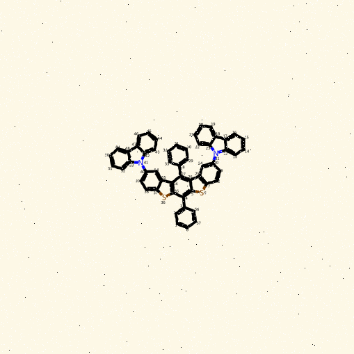 c1ccc(-c2c3sc4ccc(-n5c6ccccc6c6ccccc65)cc4c3c(-c3ccccc3)c3c2sc2ccc(-n4c5ccccc5c5ccccc54)cc23)cc1